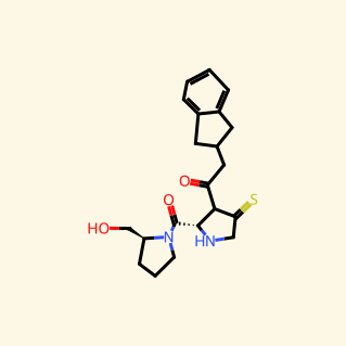 O=C(CC1Cc2ccccc2C1)C1C(=S)CN[C@@H]1C(=O)N1CCC[C@H]1CO